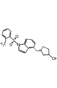 Cc1ccccc1S(=O)(=O)n1ccc2c(CN3CCC(O)C3)cccc21